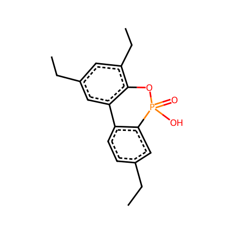 CCc1cc(CC)c2c(c1)-c1ccc(CC)cc1P(=O)(O)O2